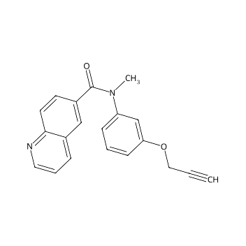 C#CCOc1cccc(N(C)C(=O)c2ccc3ncccc3c2)c1